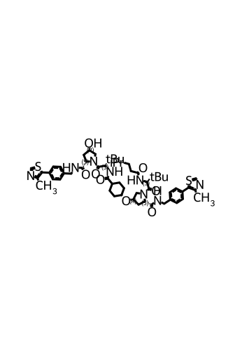 Cc1ncsc1-c1ccc(CNC(=O)[C@@H]2C[C@@H](OC3CCC(C(=O)N[C@H](C(=O)N4C[C@H](O)C[C@H]4C(=O)NCc4ccc(-c5scnc5C)cc4)C(C)(C)C)CC3)CN2C(=O)[C@@H](NC(=O)CCC(C)C)C(C)(C)C)cc1